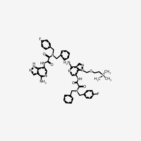 C[Si](C)(C)CCOCn1ncc2c(N)ncc(NC(=O)C(=O)N(Cc3ccccc3)Cc3ccc(F)cc3)c21.Nc1ncc(NC(=O)C(=O)N(Cc2ccccc2)Cc2ccc(F)cc2)c2[nH]ncc12